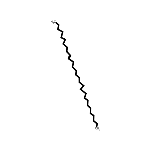 CCCCCCCCCC=CCCCCCCCCCCCCCCCCCC